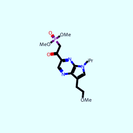 COCCc1cn(C(C)C)c2nc(C(=O)CP(=O)(OC)OC)cnc12